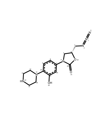 [N-]=[N+]=NC[C@H]1CN(c2ccc(N3CCNCC3)c(O)c2)C(=O)O1